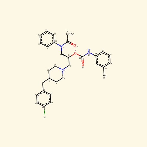 CC(=O)NC(=O)N(C[C@H](CN1CCC(Cc2ccc(F)cc2)CC1)OC(=O)Nc1cccc(C(C)=O)c1)c1ccccc1